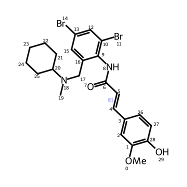 COc1cc(/C=C/C(=O)Nc2c(Br)cc(Br)cc2CN(C)C2CCCCC2)ccc1O